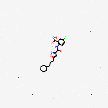 O=C(Nc1ccc(Cl)cc1C(=O)O)c1cc(CCCC2CCCCC2)on1